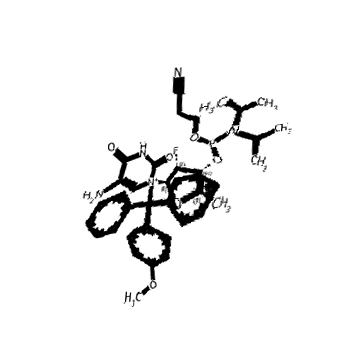 COc1ccc(C(c2ccccc2)(c2ccccc2)[N+]2([C@@H]3O[C@H](C)[C@@H](OP(OCCC#N)N(C(C)C)C(C)C)[C@H]3F)C=C(N)C(=O)NC2=O)cc1